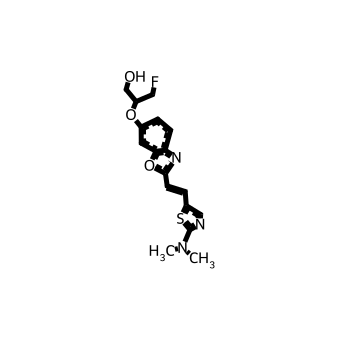 CN(C)c1ncc(/C=C/c2nc3ccc(OC(CO)CF)cc3o2)s1